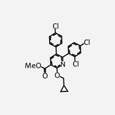 COC(=O)c1cc(-c2ccc(Cl)cc2)c(-c2ccc(Cl)cc2Cl)nc1OCC1CC1